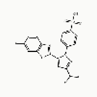 CS(=O)(=O)c1ccc(-n2nc(C(F)F)cc2-c2nc3ccc(F)cc3o2)cc1